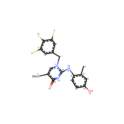 COc1cn(Cc2cc(F)c(F)c(F)c2)c(Nc2ccc(O)cc2C)nc1=O